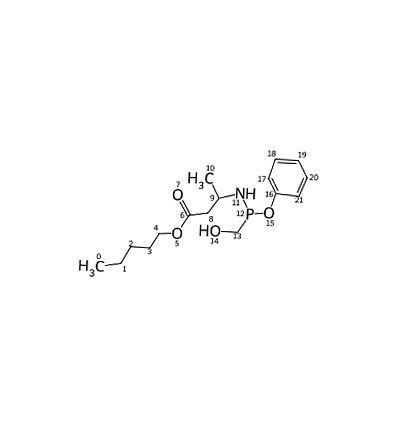 CCCCCOC(=O)CC(C)NP(CO)Oc1ccccc1